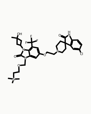 CC1(O)CC(n2c(=O)n(COCC[Si](C)(C)C)c3cc(OCCN4CCC5(CC4)C(=O)Nc4ccc(Cl)cc45)cc(C(F)(F)F)c32)C1